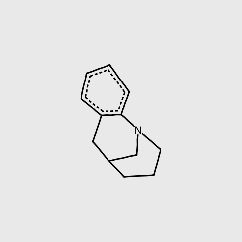 c1ccc2c(c1)CC1CCCN2C1